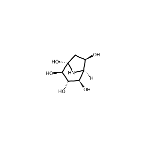 O[C@H]1[C@H](O)[C@@H](O)[C@@]2(O)C[C@@H](O)[C@@H]1N2